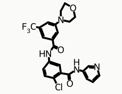 O=C(Nc1ccc(Cl)c(C(=O)Nc2cccnc2)c1)c1cc(N2CCOCC2)cc(C(F)(F)F)c1